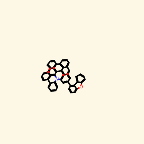 c1ccc(-c2ccccc2N(c2cccc(-c3cccc4oc5ccccc5c34)c2)c2ccccc2-c2cccc3cccc(-c4ccccc4)c23)cc1